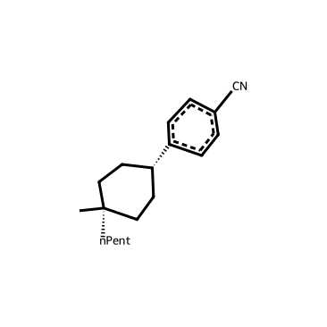 CCCCC[C@]1(C)CC[C@H](c2ccc(C#N)cc2)CC1